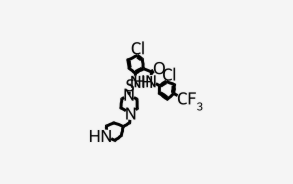 O=C(Nc1ccc(C(F)(F)F)cc1Cl)c1cc(Cl)ccc1NSN1CCN(CC2CCNCC2)CC1